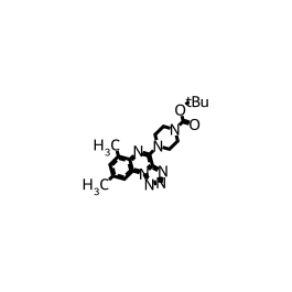 Cc1cc(C)c2nc(N3CCN(C(=O)OC(C)(C)C)CC3)c3nnnn3c2c1